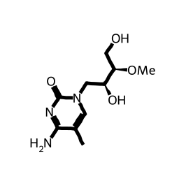 CO[C@H](CO)[C@@H](O)Cn1cc(C)c(N)nc1=O